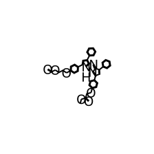 COC(=O)COc1ccc(C2=N/C(=N\c3[nH]c(-c4ccc(OCCOC=O)cc4)cc3-c3ccccc3)C(c3ccccc3)=C2)cc1